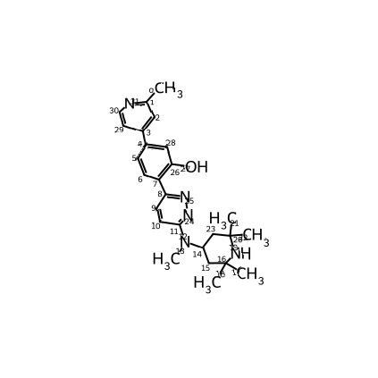 Cc1cc(-c2ccc(-c3ccc(N(C)C4CC(C)(C)NC(C)(C)C4)nn3)c(O)c2)ccn1